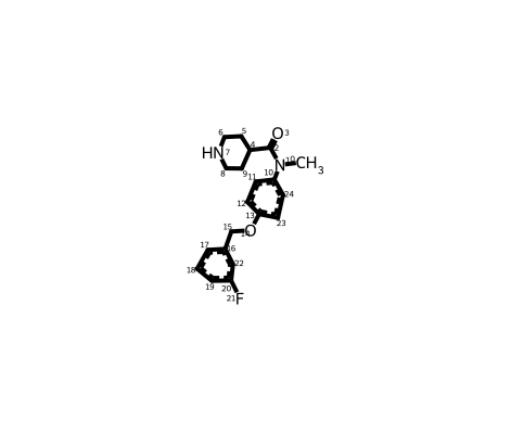 CN(C(=O)C1CCNCC1)c1ccc(OCc2cccc(F)c2)cc1